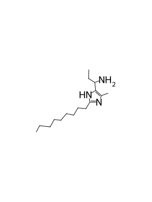 CCCCCCCCCc1nc(C)c(C(N)CC)[nH]1